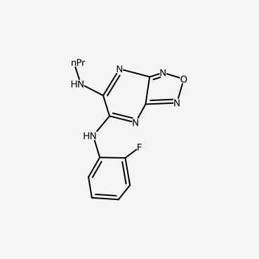 CCCNc1nc2nonc2nc1Nc1ccccc1F